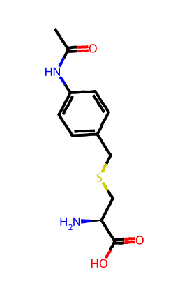 CC(=O)Nc1ccc(CSC[C@H](N)C(=O)O)cc1